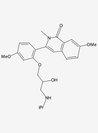 COc1ccc(-c2cc3ccc(OC)cc3c(=O)n2C)c(OCC(O)CNC(C)C)c1